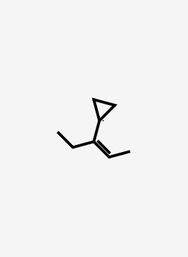 C/C=C(/CC)[C]1CC1